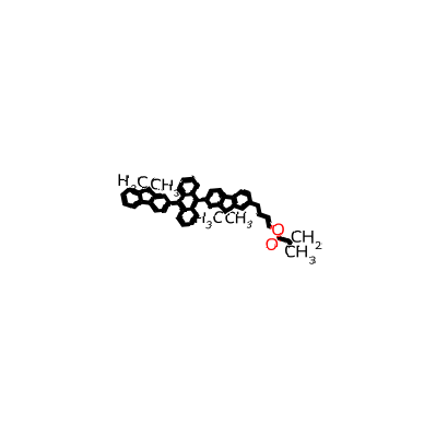 C=C(C)C(=O)OCCCCc1ccc2c(c1)C(C)(C)c1cc(-c3c4ccccc4c(-c4ccc5c(c4)C(C)(C)c4ccccc4-5)c4ccccc34)ccc1-2